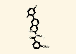 COc1cccc(C(=O)N(N)C2C=c3ccc(-c4cc(F)ccc4C)cc3=CN2)c1